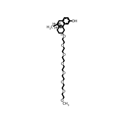 COCCOCCOCCOCCOCCOCCOCCO[C@H]1CC[C@H]2[C@H]3Cc4ccc(O)cc4[C@@]2(CCN3C)C1